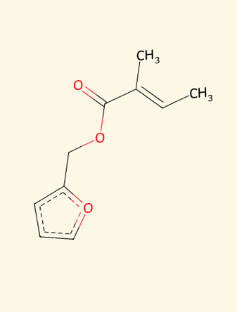 CC=C(C)C(=O)OCc1ccco1